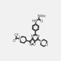 CNC(=O)Nc1ccc(-c2nc(N3CCOCC3)c3onc(C4CCN(C(=O)C(F)(F)F)CC4)c3n2)cc1